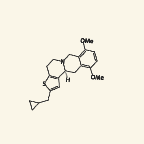 COc1ccc(OC)c2c1C[C@H]1c3cc(CC4CC4)sc3CCN1C2